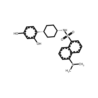 CN(C)c1cccc2c(S(=O)(=O)N[C@H]3CC[C@@H](c4ccc(O)cc4O)CC3)cccc12